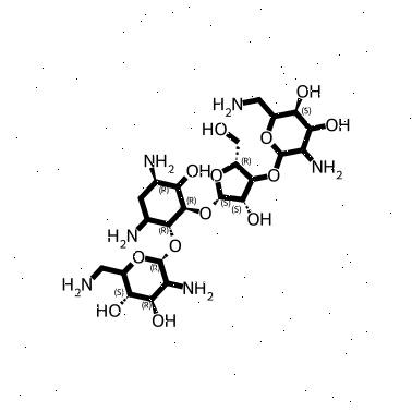 NCC1OC(OC2[C@@H](CO)O[C@@H](O[C@@H]3C(O)[C@H](N)CC(N)[C@H]3O[C@H]3OC(CN)[C@@H](O)[C@H](O)C3N)[C@H]2O)C(N)C(O)[C@@H]1O